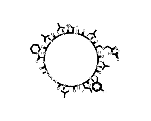 CC[C@H](C)[C@@H]1NC(=O)[C@H](CC(C)C)N(C)C(=O)CCCN(C)C(=O)C[C@@H](C(=O)N2CCCCC2)NC(=O)[C@H](CC(C)C)N(C)C(=O)[C@H](CC(C)C)N(C)C(=O)[C@H]([C@@H](C)O)NC(=O)[C@H](CC(C)C)N(C)C(=O)C(COCc2noc(=O)[nH]2)NC(=O)[C@H](CC(C)C)N(C)C(=O)[C@H](Cc2cccc(Cl)c2)N(C)C1=O